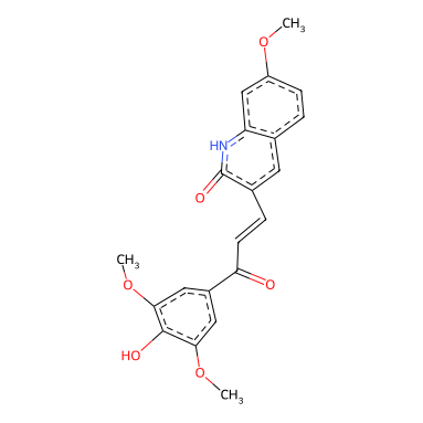 COc1ccc2cc(/C=C/C(=O)c3cc(OC)c(O)c(OC)c3)c(=O)[nH]c2c1